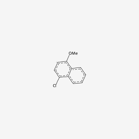 COc1[c]cc(Cl)c2ccccc12